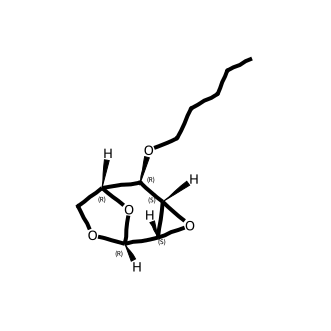 CCCCCO[C@H]1[C@@H]2O[C@@H]2[C@@H]2OC[C@H]1O2